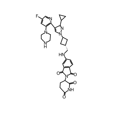 O=C1CCC(N2C(=O)c3ccc(NC[C@H]4C[C@H](n5cc(-c6ncc(F)cc6N6CCNCC6)c(C6CC6)n5)C4)cc3C2=O)C(=O)N1